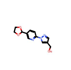 OCc1cnn(-c2ccc(C3OCCO3)cn2)c1